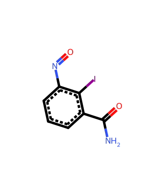 NC(=O)c1cccc(N=O)c1I